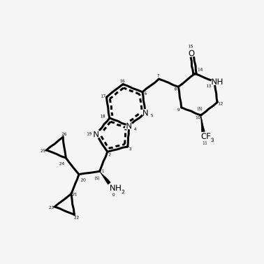 N[C@H](c1cn2nc(CC3C[C@H](C(F)(F)F)CNC3=O)ccc2n1)C(C1CC1)C1CC1